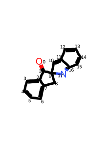 O=C1c2ccccc2CC12C=c1ccccc1=N2